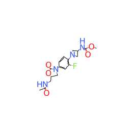 COC(=O)NC1CN(c2ccc(N3CC(CNC(C)=O)OC3=O)cc2F)C1